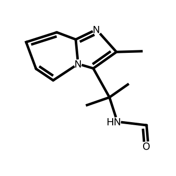 Cc1nc2ccccn2c1C(C)(C)NC=O